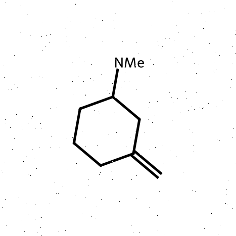 C=C1CCCC(NC)C1